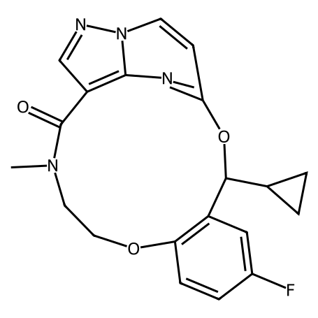 CN1CCOc2ccc(F)cc2C(C2CC2)Oc2ccn3ncc(c3n2)C1=O